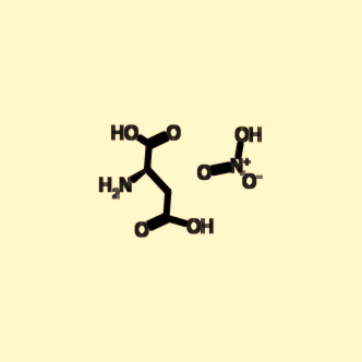 N[C@H](CC(=O)O)C(=O)O.O=[N+]([O-])O